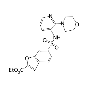 CCOC(=O)c1cc2ccc(S(=O)(=O)Nc3cccnc3N3CCOCC3)cc2o1